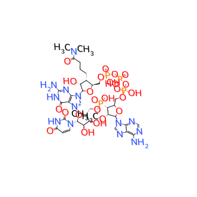 CO[C@H]1[C@H](n2cnc3c(N)ncnc32)OC(COP(=O)(O)OP(=O)(O)OP(=O)(O)OC[C@H]2OC(n3c[n+](C)c4c(=O)[nH]c(N)nc43)[C@H](O)[C@@H]2CCCC(=O)N(C)C)[C@H]1P(=O)(O)OC[C@H]1O[C@@H](n2ccc(=O)[nH]c2=O)[C@H](O)[C@@H]1O